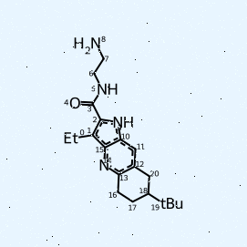 CCc1c(C(=O)NCCN)[nH]c2cc3c(nc12)CCC(C(C)(C)C)C3